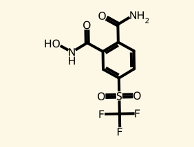 NC(=O)c1ccc(S(=O)(=O)C(F)(F)F)cc1C(=O)NO